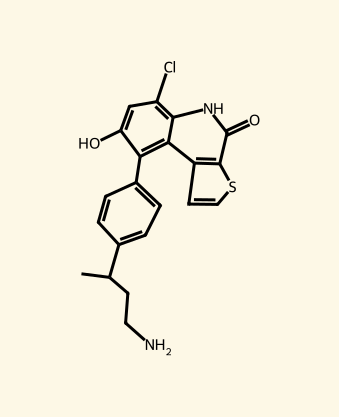 CC(CCN)c1ccc(-c2c(O)cc(Cl)c3[nH]c(=O)c4sccc4c23)cc1